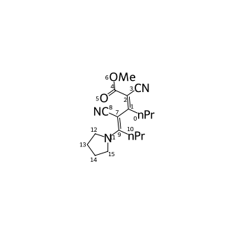 CCCC(=C(\C#N)C(=O)OC)/C(C#N)=C(\CCC)N1CCCC1